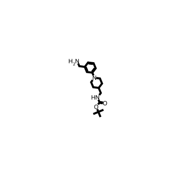 CC(C)(C)OC(=O)NCC1CCN(c2cccc(CN)c2)CC1